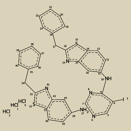 Cl.Cl.Cl.Ic1cncnc1Nc1ccc2sc(Cc3ccccc3)nc2c1.Nc1ccc2sc(Cc3ccccc3)nc2c1